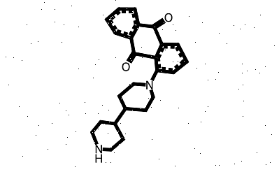 O=C1c2ccccc2C(=O)c2c1cccc2N1CCC(C2CCNCC2)CC1